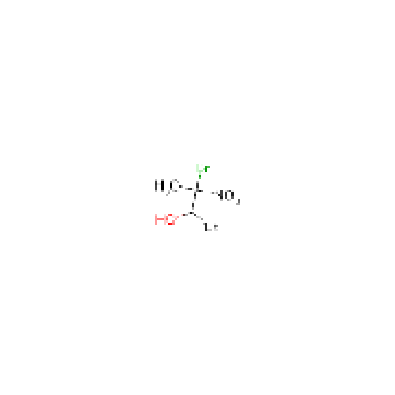 CCC(O)C(C)(Br)[N+](=O)[O-]